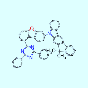 CC1(C)c2ccccc2-c2cc3c4ccccc4n(-c4ccc5c(c4)oc4cccc(-c6nc(-c7ccccc7)nc(-c7ccccc7)n6)c45)c3cc21